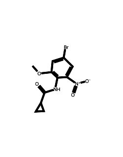 COc1cc(Br)cc([N+](=O)[O-])c1NC(=O)C1CC1